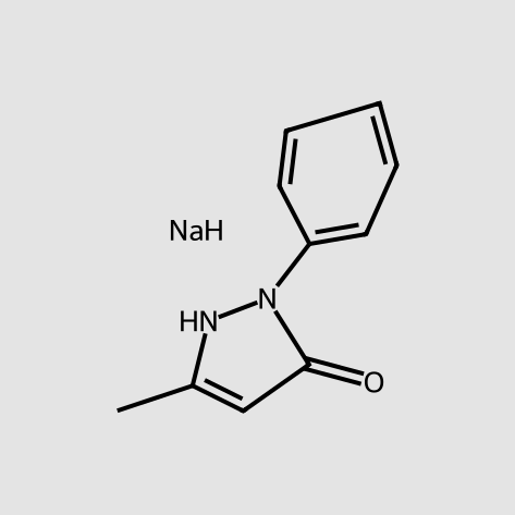 Cc1cc(=O)n(-c2ccccc2)[nH]1.[NaH]